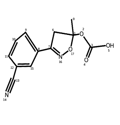 CC1(OC(=O)O)CC(c2cccc(C#N)c2)=NO1